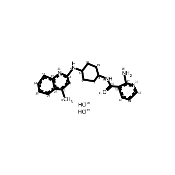 Cc1cc(NC2CCC(NC(=O)c3cccnc3N)CC2)nc2ccccc12.Cl.Cl